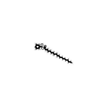 CCCCCCCCCCCCCCCCCCCC(=O)OC(=O)c1ccccc1